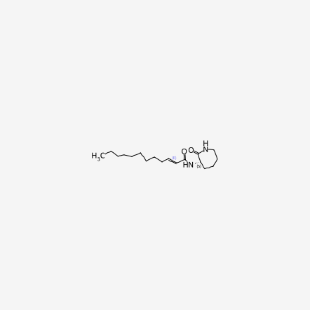 CCCCCCCCC/C=C/C(=O)N[C@H]1CCCCNC1=O